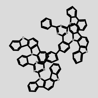 c1ccc(-c2nc(-c3cc(-c4ccc(-c5nc(-c6ccccc6-n6c7ccccc7c7ccc8oc9ccccc9c8c76)nc(-n6c7ccccc7c7ccc8oc9ccccc9c8c76)n5)cc4)ccc3-n3c4ccccc4c4ccc5oc6ccccc6c5c43)nc(-n3c4ccccc4c4ccccc43)n2)cc1